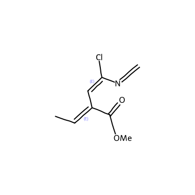 C=N/C(Cl)=C\C(=C/C)C(=O)OC